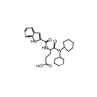 O=C(O)CCC(NC(=O)c1cc2ccccc2[nH]1)C(=O)N(C1CCCCC1)C1CCCCC1